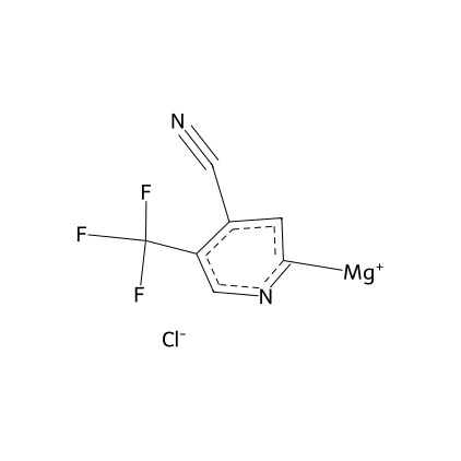 N#Cc1c[c]([Mg+])ncc1C(F)(F)F.[Cl-]